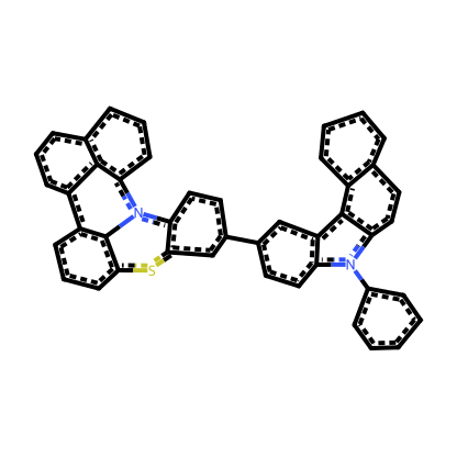 c1ccc(-n2c3ccc(-c4ccc5c(c4)sc4cccc6c4-n5c4cccc5cccc6c54)cc3c3c4ccccc4ccc32)cc1